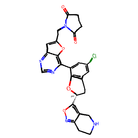 O=C1CCC(=O)N1Cc1cc2ncnc(-c3cc(Cl)cc4c3O[C@@H](c3onc5c3CNCC5)C4)c2o1